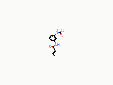 CC=CC(=O)Nc1cccc(NC(=O)CC)c1